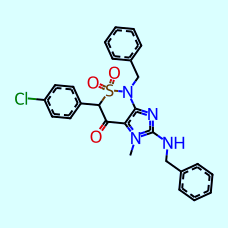 Cn1c(NCc2ccccc2)nc2c1C(=O)C(c1ccc(Cl)cc1)S(=O)(=O)N2Cc1ccccc1